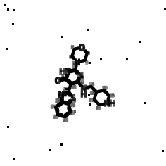 O=c1[nH]c(N2CCOCC2)nc(NCC2CCNCC2)c1-c1nc2ccccc2s1